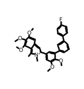 COc1cc(-c2cc3cc(OC)c(OC)c(OC)c3c(C)[n+]2C)cc(-c2cccc(-c3ccc(F)cc3)c2)c1OC